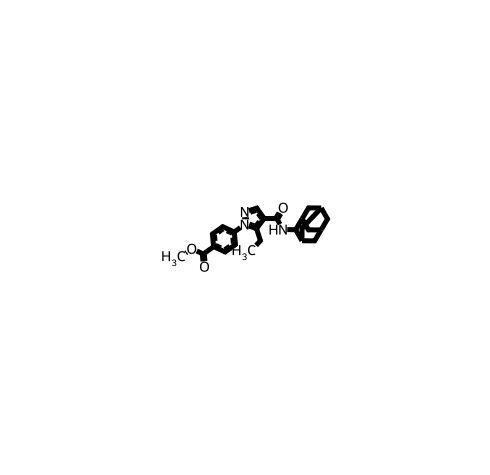 CCc1c(C(=O)NC2C3CC4CC(C3)CC2C4)cnn1-c1ccc(C(=O)OC)cc1